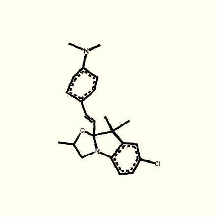 CC1CN2c3ccc(Cl)cc3C(C)(C)C2(/C=C/c2ccc(N(C)C)cc2)O1